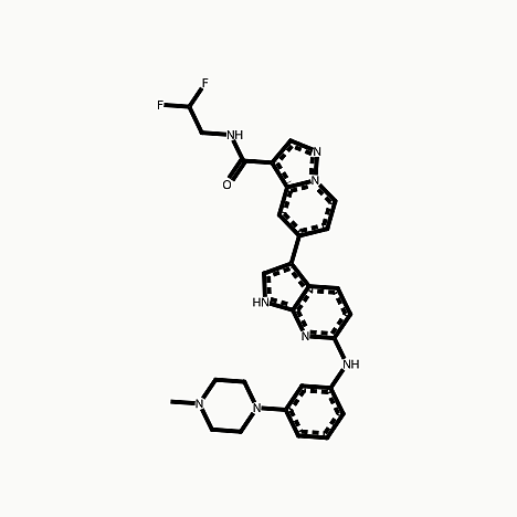 CN1CCN(c2cccc(Nc3ccc4c(-c5ccn6ncc(C(=O)NCC(F)F)c6c5)c[nH]c4n3)c2)CC1